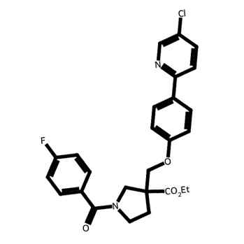 CCOC(=O)C1(COc2ccc(-c3ccc(Cl)cn3)cc2)CCN(C(=O)c2ccc(F)cc2)C1